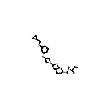 CCC(=O)NC(C)c1ccc2nc(N3CC(Oc4cccc(OCC5CC5)c4)C3)oc2c1